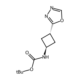 CC(C)(C)OC(=O)N[C@H]1C[C@H](c2nnco2)C1